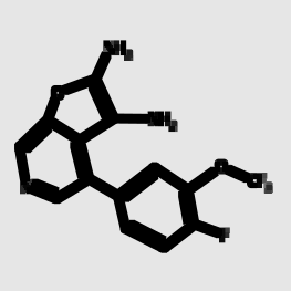 Nc1oc2cncc(-c3ccc(F)c(OC(F)(F)F)c3)c2c1N